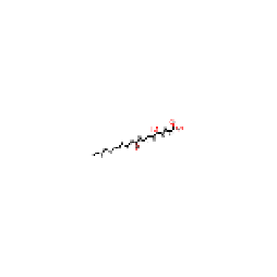 CCCCCCCCCCC(=O)C=CC=CC(O)=CC=CC(=O)O